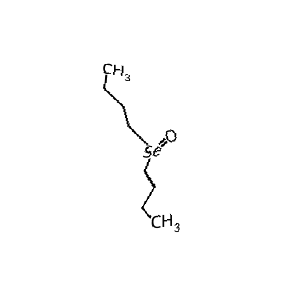 CCCC[Se](=O)CCCC